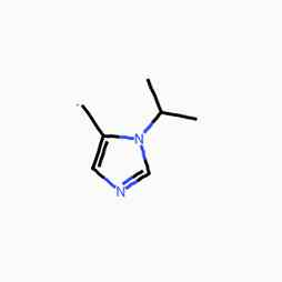 [CH2]c1cncn1C(C)C